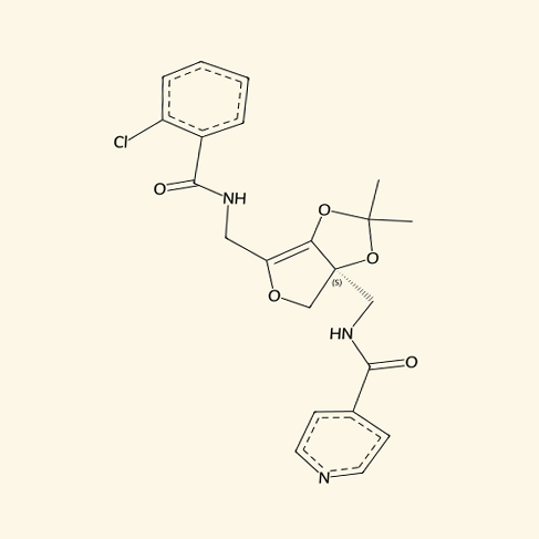 CC1(C)OC2=C(CNC(=O)c3ccccc3Cl)OC[C@]2(CNC(=O)c2ccncc2)O1